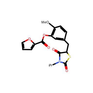 COc1ccc(CC2SC(=O)N(C(C)C)C2=O)cc1OC(=O)c1ccco1